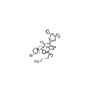 C[C@@]1(Cc2ccc(Br)cc2)C(=O)N(c2cc(Cl)cc(Cl)c2)c2ncc(S(=O)(=O)CCCO)n21